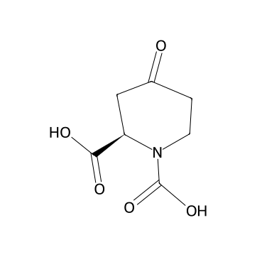 O=C1CCN(C(=O)O)[C@@H](C(=O)O)C1